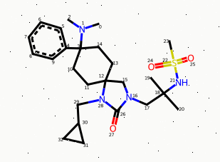 CN(C)C1(c2ccccc2)CCC2(CC1)CN(CC(C)(C)NS(C)(=O)=O)C(=O)N2CC1CC1